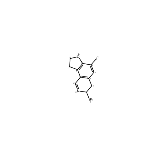 CC(C)C1Cc2cc(I)c3c(c2C=N1)CCO3